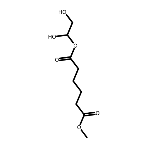 COC(=O)CCCCC(=O)OC(O)CO